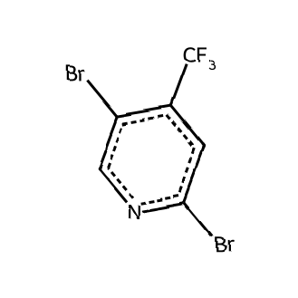 FC(F)(F)c1cc(Br)ncc1Br